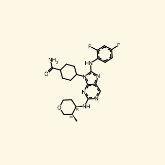 C[C@H]1COCC[C@H]1Nc1ncc2nc(Nc3ccc(F)cc3F)n(C3CCC(C(N)=O)CC3)c2n1